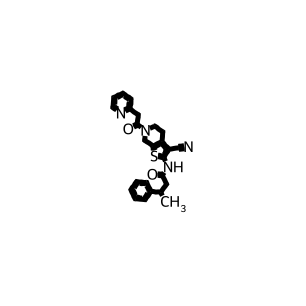 CC(CC(=O)Nc1sc2c(c1C#N)CCN(C(=O)Cc1ccccn1)C2)c1ccccc1